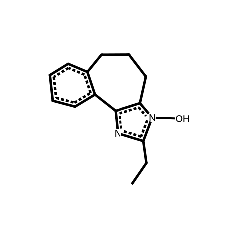 CCc1nc2c(n1O)CCCc1ccccc1-2